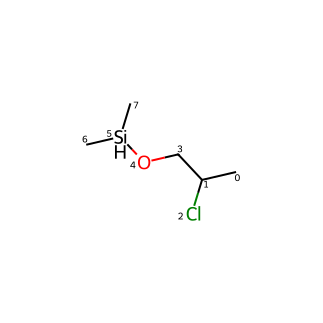 CC(Cl)CO[SiH](C)C